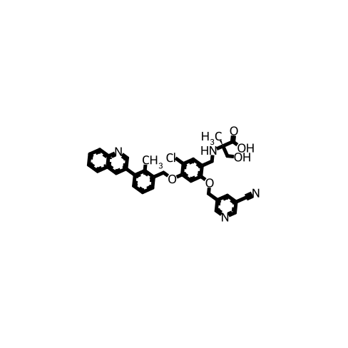 Cc1c(COc2cc(OCc3cncc(C#N)c3)c(CN[C@](C)(CO)C(=O)O)cc2Cl)cccc1-c1cnc2ccccc2c1